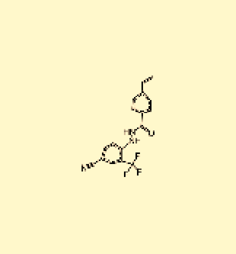 C=Cc1ccc(C(=O)NNc2ccc(C#N)cc2C(F)(F)F)cc1